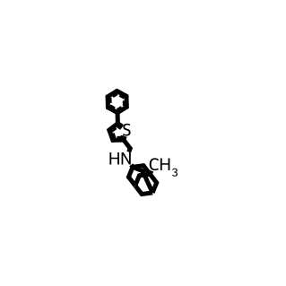 CC12CC3CC(C1)CC(NCc1ccc(-c4ccccc4)s1)(C3)C2